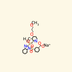 COCCCOc1ccnc(C[S+]([O-])c2nc3ccccc3n2S(=O)(=O)c2cccc(C(=O)[O-])c2)c1C.[Na+]